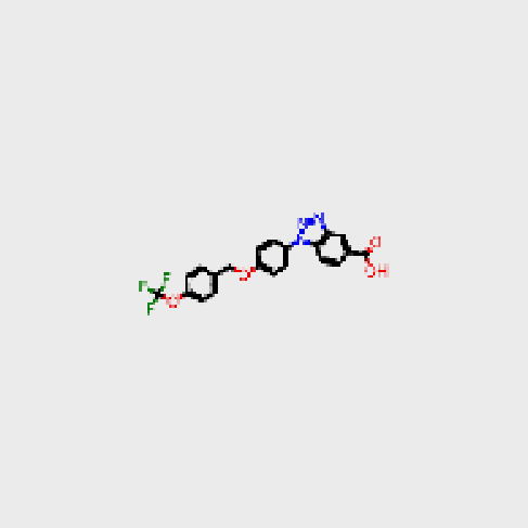 O=C(O)c1ccc2c(c1)nnn2-c1ccc(OCc2ccc(OC(F)(F)F)cc2)cc1